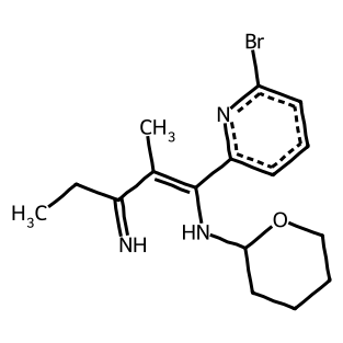 CCC(=N)/C(C)=C(\NC1CCCCO1)c1cccc(Br)n1